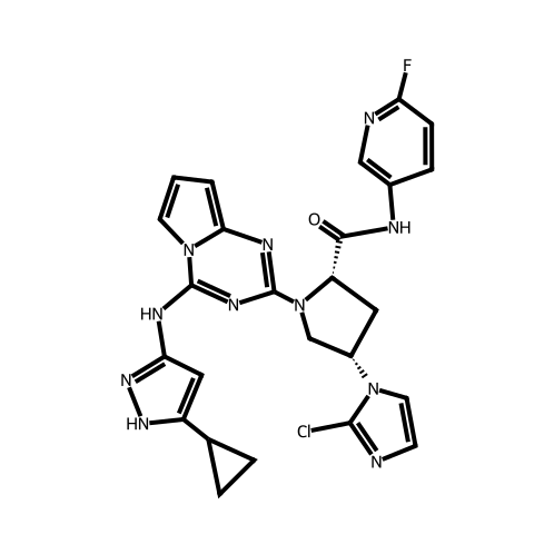 O=C(Nc1ccc(F)nc1)[C@@H]1C[C@H](n2ccnc2Cl)CN1c1nc(Nc2cc(C3CC3)[nH]n2)n2cccc2n1